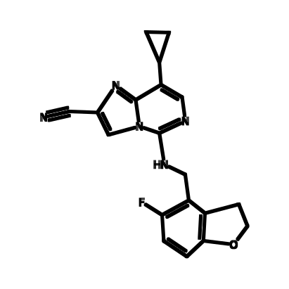 N#Cc1cn2c(NCc3c(F)ccc4c3CCO4)ncc(C3CC3)c2n1